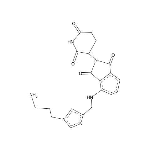 NCCCn1cnc(CNc2cccc3c2C(=O)N(C2CCC(=O)NC2=O)C3=O)c1